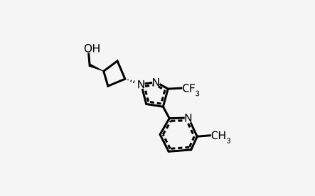 Cc1cccc(-c2cn([C@H]3C[C@H](CO)C3)nc2C(F)(F)F)n1